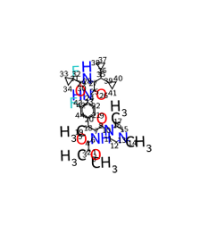 CO[C@@H](C)C(=O)N[C@@H](C(=O)N1CCN(C)C[C@@H]1C)[C@@H](C)c1ccc(NC(=O)[C@@H](NC(=O)C2(F)CC2)C(C2CC2)C2CC2)c(F)c1